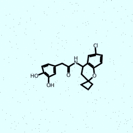 O=C(Cc1ccc(O)c(O)c1)NC1CC2(CCC2)Oc2ccc(Cl)cc21